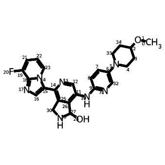 COC1CCN(c2ccc(Nc3cnc(-c4cnc5c(F)cccn45)c4c3C(O)NC4)nc2)CC1